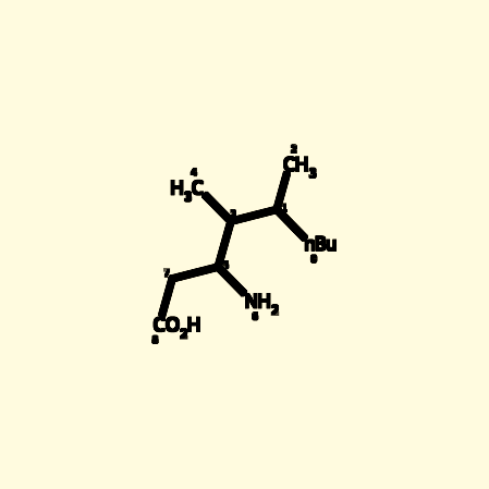 CCCCC(C)C(C)C(N)CC(=O)O